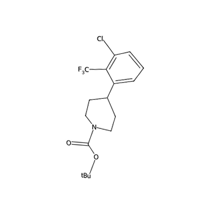 CC(C)(C)OC(=O)N1CCC(c2cccc(Cl)c2C(F)(F)F)CC1